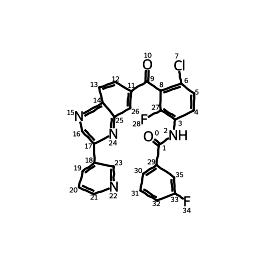 O=C(Nc1ccc(Cl)c(C(=O)c2ccc3ncc(-c4cccnc4)nc3c2)c1F)c1cccc(F)c1